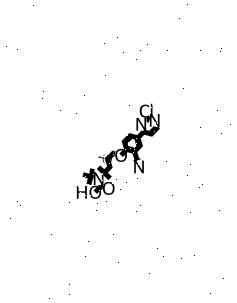 C[C@H](COc1ccc(-c2ccnc(Cl)n2)cc1C#N)CC(C)(C)N(C(=O)O)C(C)(C)C